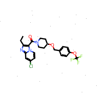 CCc1nc2cc(Cl)ccn2c1C(=O)N1CCC(OCc2ccc(OC(F)(F)F)cc2)CC1